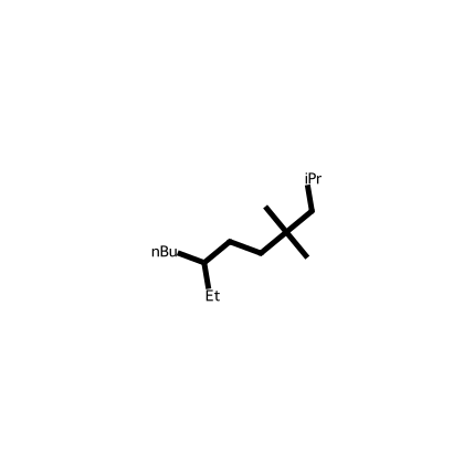 CCCCC(CC)CCC(C)(C)CC(C)C